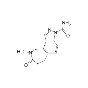 CN1Cc2c(ccc3c2cnn3C(N)=O)C[CH]C1=O